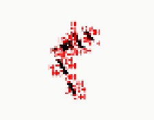 CCO.OCC(CO)(CO)CO.OCC(O)C(O)C(O)C(O)CO.OCCCCO.OC[C@@H](O)[C@@H](O)[C@H](O)[C@@H](O)CO.OC[C@@H](O)[C@H](O)CO.OC[C@@H](O)[C@H](O)[C@@H](O)CO